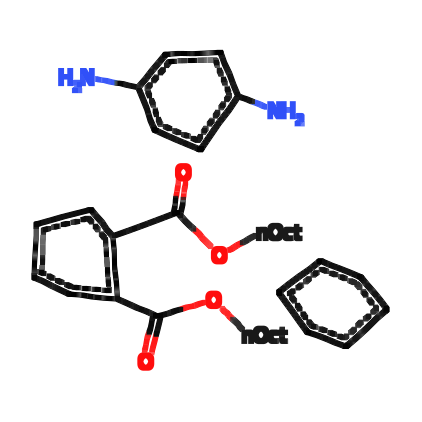 CCCCCCCCOC(=O)c1ccccc1C(=O)OCCCCCCCC.Nc1ccc(N)cc1.c1ccccc1